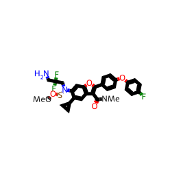 CNC(=O)c1c(-c2ccc(Oc3ccc(F)cc3)cc2)oc2cc(N(CC(F)(F)CN)SOOC)c(C3CC3)cc12